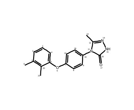 Cc1cccc(Oc2ccc(-n3c(C)n[nH]c3=O)cc2)c1C